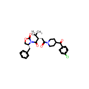 CC(C)[C@H](CC(=O)N1CCC(C(=O)c2ccc(Cl)cc2)CC1)C(=O)N1C(=O)OC[C@H]1Cc1ccccc1